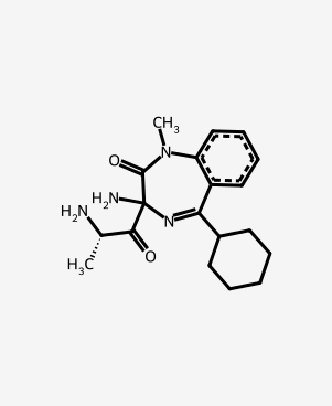 C[C@H](N)C(=O)C1(N)N=C(C2CCCCC2)c2ccccc2N(C)C1=O